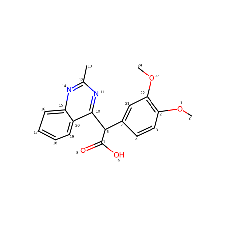 COc1ccc(C(C(=O)O)c2nc(C)nc3ccccc23)cc1OC